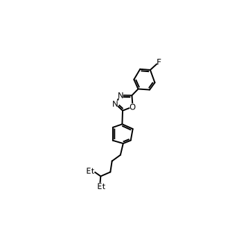 CCC(CC)CCCc1ccc(-c2nnc(-c3ccc(F)cc3)o2)cc1